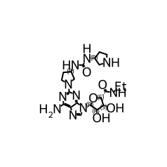 CCNC(=O)[C@H]1O[C@@H](n2cnc3c(N)nc(N4CC[C@@H](NC(=O)N[C@@H]5CCNC5)C4)nc32)[C@H](O)[C@@H]1O